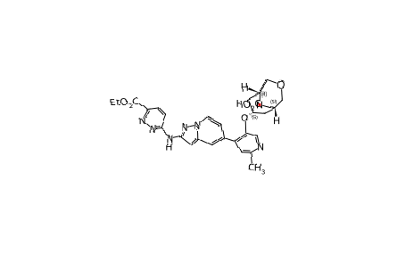 CCOC(=O)c1ccc(Nc2cc3cc(-c4cc(C)ncc4O[C@H]4C[C@H]5COC[C@@H](C4)N5C(=O)O)ccn3n2)nn1